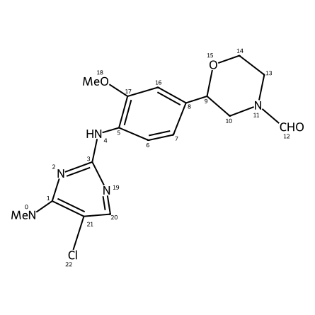 CNc1nc(Nc2ccc(C3CN(C=O)CCO3)cc2OC)ncc1Cl